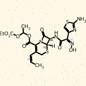 C/C=C\C1=C(C(=O)OC(C)OC(=O)OCC)N2C(=O)[C@@H](NC(=O)/C(=N\O)c3csc(N)n3)[C@@H]2SC1